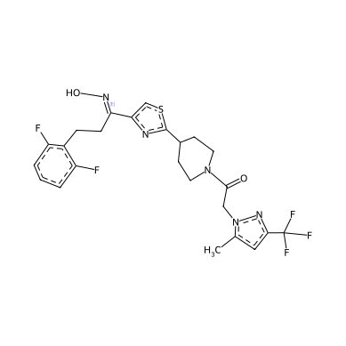 Cc1cc(C(F)(F)F)nn1CC(=O)N1CCC(c2nc(/C(CCc3c(F)cccc3F)=N/O)cs2)CC1